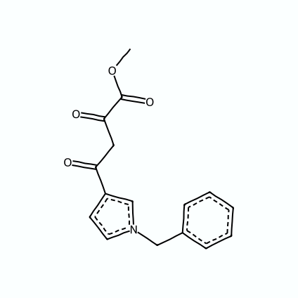 COC(=O)C(=O)CC(=O)c1ccn(Cc2ccccc2)c1